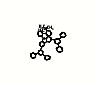 CC(C)(C)c1ccccc1-c1ccccc1-n1c2ccc(-c3cc(-c4ccccc4)cc(-c4ccccc4)c3)cc2c2cc(-c3cc(-c4ccccc4)cc(-c4ccccc4)c3)ccc21